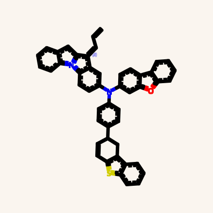 C=C/C=c1/c2cc(N(c3ccc(C4C=Cc5sc6ccccc6c5C4)cc3)c3ccc4c(c3)oc3ccccc34)ccc2n2c1cc1ccccc12